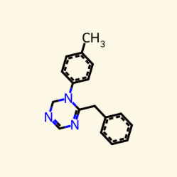 Cc1ccc(N2CN=CN=C2Cc2ccccc2)cc1